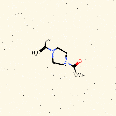 C=C(C(C)C)N1CCN(C(=O)OC)CC1